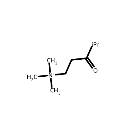 CC(C)C(=O)CC[N+](C)(C)C